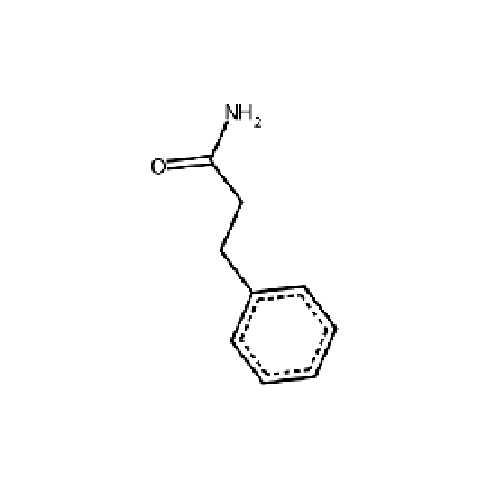 NC(=O)CCc1ccccc1